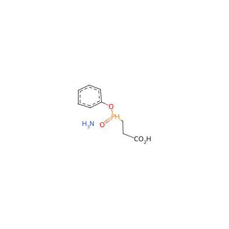 N.O=C(O)CC[PH](=O)Oc1ccccc1